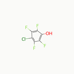 Oc1c(F)c(F)c(Cl)c(F)c1F